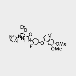 C=Nc1cc(OC)c(OC)cc1/C(=C\C)Oc1ccc(NC(=O)c2nn(-c3cnccn3)cc2OCC)c(F)c1